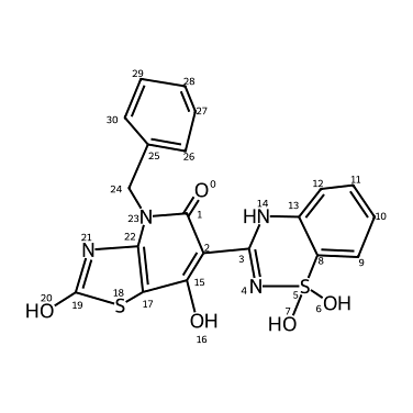 O=c1c(C2=NS(O)(O)c3ccccc3N2)c(O)c2sc(O)nc2n1Cc1ccccc1